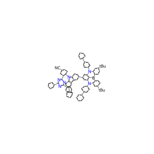 CC(C)(C)c1ccc2c(c1)N(c1ccc(-c3ccccc3)cc1)c1cc(-c3ccc4c(c3)c3cc(-c5ccccc5)ccc3n4-c3ccc(C#N)cc3-c3nc(-c4ccccc4)nc(-c4ccccc4)n3)cc3c1B2c1ccc(C(C)(C)C)cc1N3c1ccc(-c2ccccc2)cc1